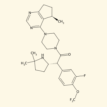 C[C@@H]1CCc2ncnc(N3CCN(C(=O)C(c4ccc(OC(F)(F)F)c(F)c4)[C@@H]4CCC(C)(C)N4)CC3)c21